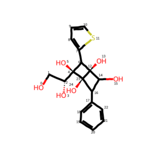 OC[C@@H](O)[C@]1(O)C(c2cccs2)[C@]2(O)C(O)C(c3ccccc3)[C@@]21O